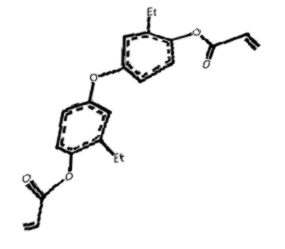 C=CC(=O)Oc1ccc(Oc2ccc(OC(=O)C=C)c(CC)c2)cc1CC